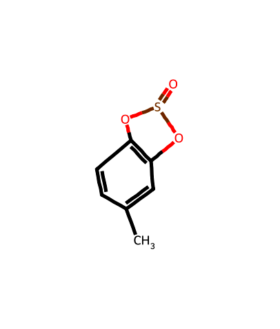 Cc1ccc2c(c1)OS(=O)O2